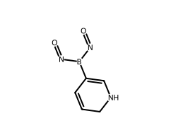 O=NB(N=O)C1=CNCC=C1